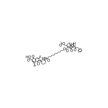 CC(=O)OCC1=C(C(=O)OCCCCCCCCCCC(=O)N[C@H]2CCCCN(c3c(F)cc4c(=O)c(C(=O)O)cn(C5CC5)c4c3Cl)C2)N2C(=O)[C@@H](NC(=O)Cc3cccs3)[C@H]2SC1